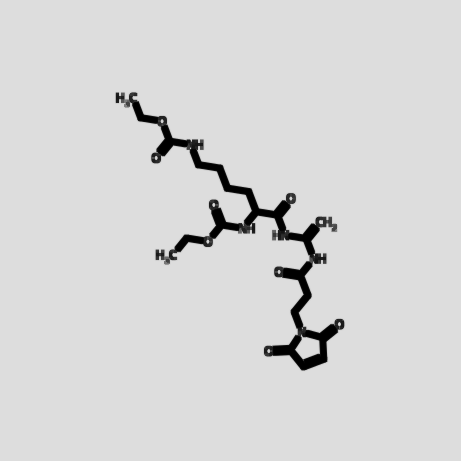 C=C(NC(=O)CCN1C(=O)C=CC1=O)NC(=O)C(CCCCNC(=O)OCC)NC(=O)OCC